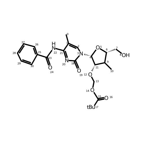 Cc1cn([C@@H]2O[C@H](CO)C(C)[C@@H]2OCOC(=O)C(C)(C)C)c(=O)nc1NC(=O)c1ccccc1